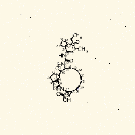 CCS(=O)(=O)N(C)CC(NC(=O)N[C@H]1CCCCC/C=C\C2C[C@@]2(C(=O)O)NC(=O)[C@@H]2CCCN2C1=O)C1CCC1